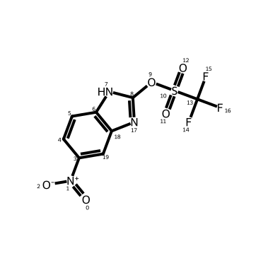 O=[N+]([O-])c1ccc2[nH]c(OS(=O)(=O)C(F)(F)F)nc2c1